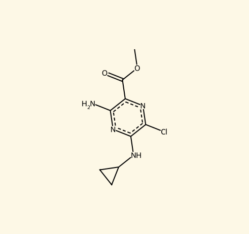 COC(=O)c1nc(Cl)c(NC2CC2)nc1N